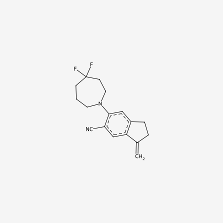 C=C1CCc2cc(N3CCCC(F)(F)CC3)c(C#N)cc21